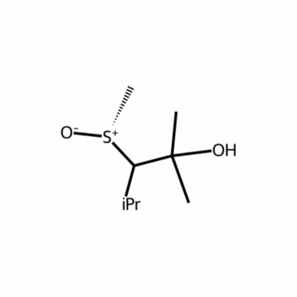 CC(C)C([S@@+](C)[O-])C(C)(C)O